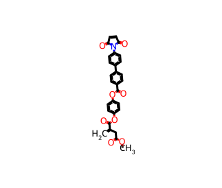 C=C(CC(=O)OC)C(=O)Oc1ccc(OC(=O)c2ccc(-c3ccc(N4C(=O)C=CC4=O)cc3)cc2)cc1